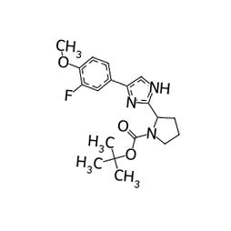 COc1ccc(-c2c[nH]c(C3CCCN3C(=O)OC(C)(C)C)n2)cc1F